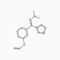 CCCCCOc1cccc(/C(=N/N(C)C)n2ccnc2)c1